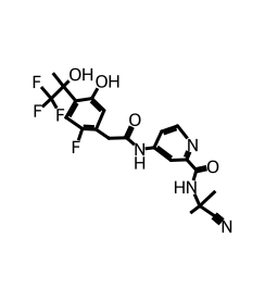 CC(C)(C#N)NC(=O)c1cc(NC(=O)Cc2cc(O)c(C(C)(O)C(F)(F)F)cc2F)ccn1